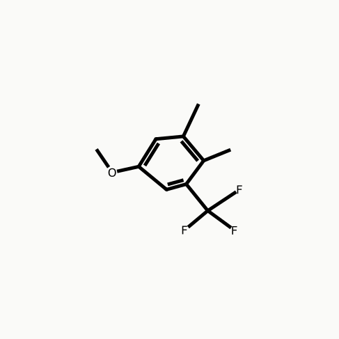 COc1cc(C)c(C)c(C(F)(F)F)c1